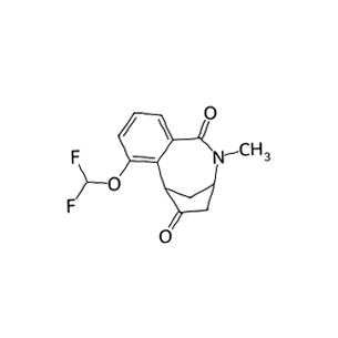 CN1C(=O)c2cccc(OC(F)F)c2C2CC1CC2=O